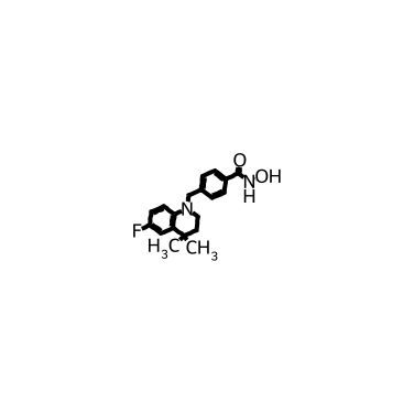 CC1(C)CCN(Cc2ccc(C(=O)NO)cc2)c2ccc(F)cc21